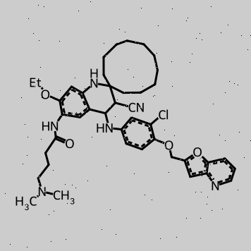 CCOc1cc2c(cc1NC(=O)CCCN(C)C)C(Nc1ccc(OCc3cc4ncccc4o3)c(Cl)c1)C(C#N)C1(CCCCCCCCCC1)N2